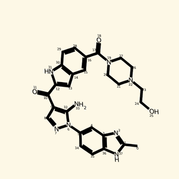 Cc1nc2cc(-n3ncc(C(=O)c4cc5cc(C(=O)N6CCN(CCO)CC6)ccc5[nH]4)c3N)ccc2[nH]1